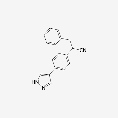 N#CC(Cc1ccccc1)c1ccc(-c2cn[nH]c2)cc1